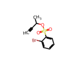 C#CC(C)OS(=O)(=O)c1ccccc1Br